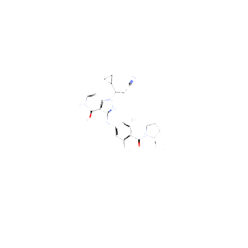 Cc1cc(Nc2nn(C(CC#N)C3CC3)c3cc[nH]c(=O)c23)ccc1C(=O)N1[C@H](C)CC[C@H]1C